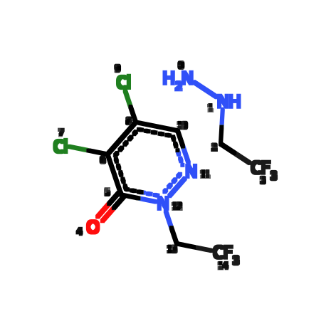 NNCC(F)(F)F.O=c1c(Cl)c(Cl)cnn1CC(F)(F)F